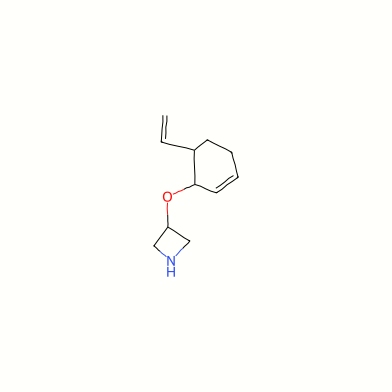 C=CC1CCC=CC1OC1CNC1